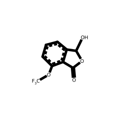 O=C1OC(O)c2cccc(OC(F)(F)F)c21